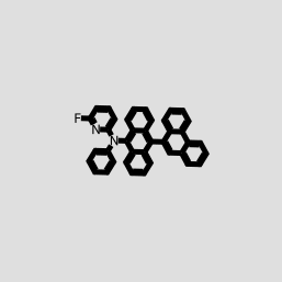 Fc1cccc(N(c2ccccc2)c2c3ccccc3c(-c3cc4ccccc4c4ccccc34)c3ccccc23)n1